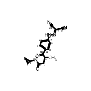 CC1CC(=O)N(C2CC2)N=C1c1ccc(NN=C(C#N)C#N)cc1